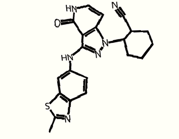 Cc1nc2ccc(Nc3nn(C4CCCCC4C#N)c4cc[nH]c(=O)c34)cc2s1